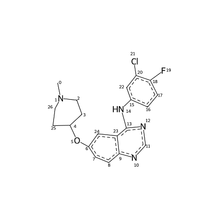 CN1CCC(Oc2ccc3ncnc(Nc4ccc(F)c(Cl)c4)c3c2)CC1